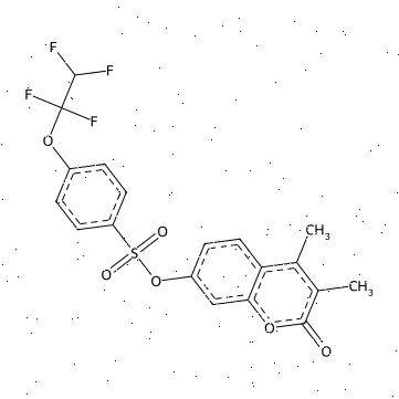 Cc1c(C)c2ccc(OS(=O)(=O)c3ccc(OC(F)(F)C(F)F)cc3)cc2oc1=O